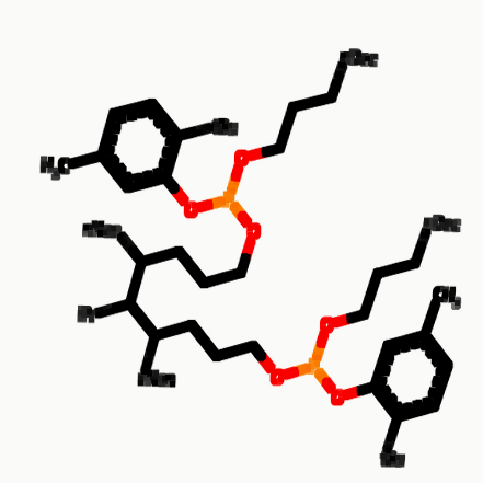 CCCCCCCCCCCCCOP(OCCCC(CCCCCCCCC)C(C(C)C)C(CCCCCCCCC)CCCOP(OCCCCCCCCCCCCC)Oc1cc(C)ccc1C(C)(C)C)Oc1cc(C)ccc1C(C)(C)C